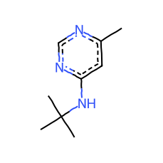 Cc1cc(NC(C)(C)C)ncn1